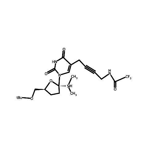 C[SiH](C)[C@]1(n2cc(CC#CCNC(=O)C(F)(F)F)c(=O)[nH]c2=O)CC[C@@H](COC(C)(C)C)O1